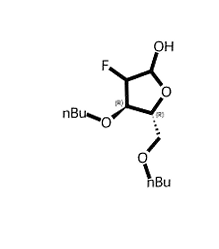 CCCCOC[C@H]1OC(O)C(F)[C@@H]1OCCCC